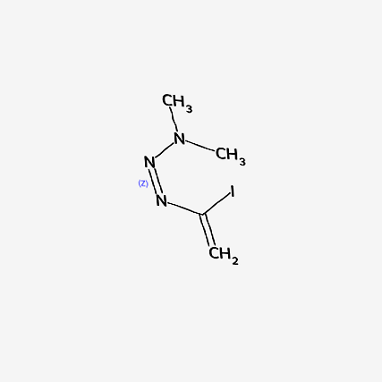 C=C(I)/N=N\N(C)C